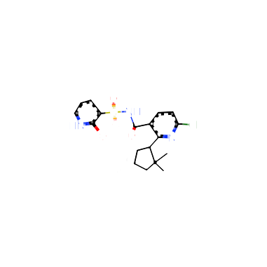 C[C@@H]1CC(c2nc(Cl)ccc2C(=O)NS(=O)(=O)c2ccc[nH]c2=O)C(C)(C)C1